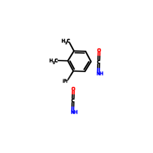 Cc1cccc(C(C)C)c1C.N=C=O.N=C=O